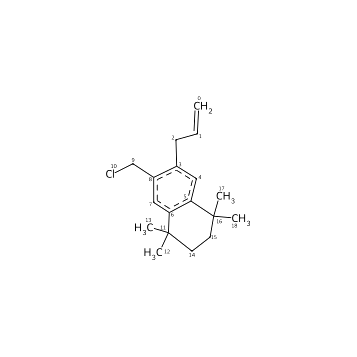 C=CCc1cc2c(cc1CCl)C(C)(C)CCC2(C)C